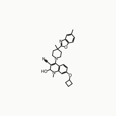 Cc1ccc2oc(C3(C)CCN(C4=C(C#N)C(O)N(C)c5cc(OC6CCC6)ccc54)CC3)nc2c1